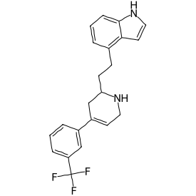 FC(F)(F)c1cccc(C2=CCNC(CCc3cccc4[nH]ccc34)C2)c1